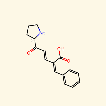 O=C(O)C(C=CC(=O)[C@@H]1CCCN1)=Cc1ccccc1